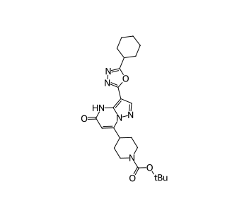 CC(C)(C)OC(=O)N1CCC(c2cc(=O)[nH]c3c(-c4nnc(C5CCCCC5)o4)cnn23)CC1